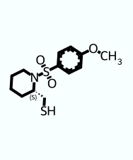 COc1ccc(S(=O)(=O)N2CCCC[C@H]2CS)cc1